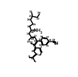 C\C=C/C(=C\C=C(C)C)C(/C)=C(/C=C(\C)CC(N)CCCC(C)CC)c1ccc(C#N)cc1